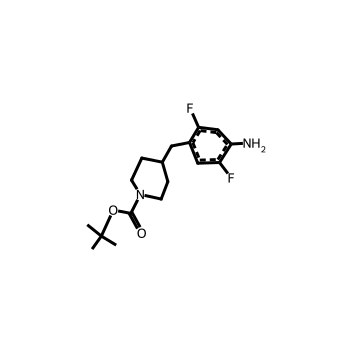 CC(C)(C)OC(=O)N1CCC(Cc2cc(F)c(N)cc2F)CC1